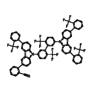 N#Cc1ccccc1-c1ccc2c(c1)c1cc(-c3ccccc3C(F)(F)F)ccc1n2-c1ccc(C(F)(F)F)c(-c2cc(-n3c4ccc(-c5ccccc5C(F)(F)F)cc4c4cc(-c5ccccc5C(F)(F)F)ccc43)ccc2C(F)(F)F)c1